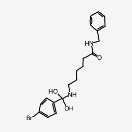 O=C(CCCCCNC(O)(O)c1ccc(Br)cc1)NCc1ccccc1